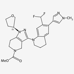 COC(=O)N1CCc2c(c(N3CCCc4cc(-c5cnn(C)c5)c(C(F)F)cc43)nn2[C@H]2CCOC2)C1